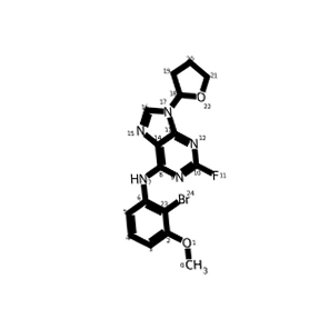 COc1cccc(Nc2nc(F)nc3c2ncn3C2CCCO2)c1Br